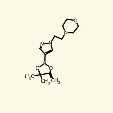 C=C1OB(c2cnn(CCN3CCOCC3)c2)OC1(C)C